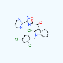 O=C(c1nc(-c2ncccn2)no1)c1c(Cl)n(Cc2ccc(Cl)cc2Cl)c2ccccc12